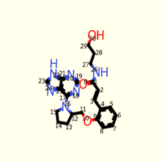 O=C(C=Cc1ccccc1OCC1CCCN1c1ncnc2[nH]cnc12)NCCCO